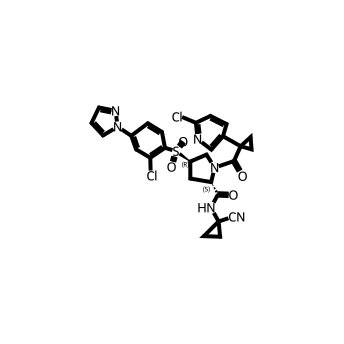 N#CC1(NC(=O)[C@@H]2C[C@@H](S(=O)(=O)c3ccc(-n4cccn4)cc3Cl)CN2C(=O)C2(c3ccc(Cl)nc3)CC2)CC1